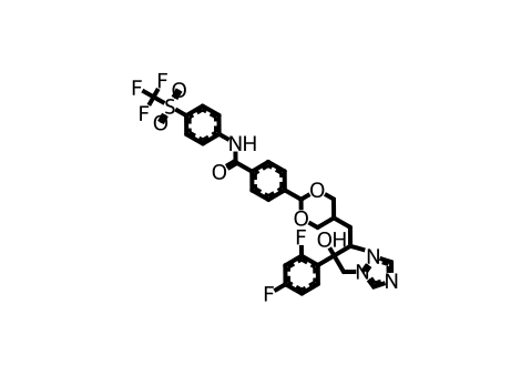 CC(CC1COC(c2ccc(C(=O)Nc3ccc(S(=O)(=O)C(F)(F)F)cc3)cc2)OC1)C(O)(Cn1cncn1)c1ccc(F)cc1F